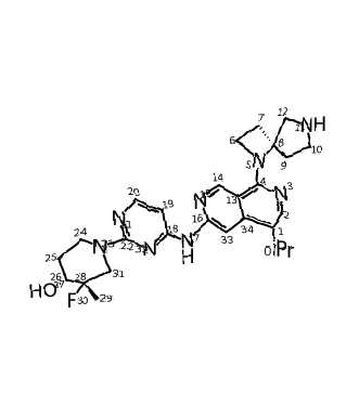 CC(C)c1cnc(N2CC[C@]23CCNC3)c2cnc(Nc3ccnc(N4CC[C@@H](O)[C@@](C)(F)C4)n3)cc12